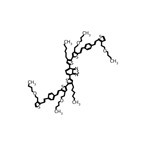 CCCCCCc1cc(-c2ccc(-c3cc(CCCCCC)c(-c4cc(CCOCCCC)c(/C=C/c5ccc(/C=C/c6sccc6CCOCCCC)cc5)s4)s3)c3nsnc23)sc1-c1cc(CCOCCCC)c(/C=C/c2ccc(/C=C/c3sccc3CCOCCCC)cc2)s1